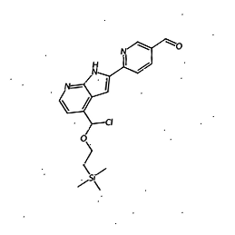 C[Si](C)(C)CCOC(Cl)c1ccnc2[nH]c(-c3ccc(C=O)cn3)cc12